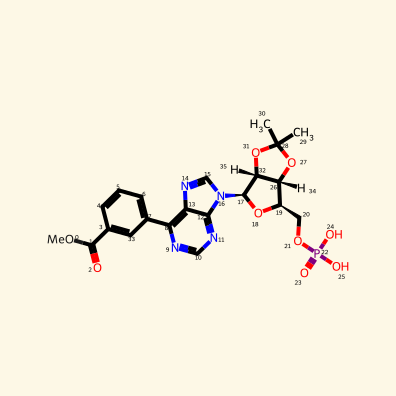 COC(=O)c1cccc(-c2ncnc3c2ncn3[C@@H]2O[C@H](COP(=O)(O)O)[C@H]3OC(C)(C)O[C@H]32)c1